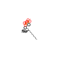 CCCCCCCCCCCc1ccccc1-c1cccc(S(=O)(=O)[O-])c1S(=O)(=O)[O-].[Na+].[Na+]